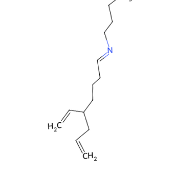 C=CCC(C=C)CCC/C=N/CCCC